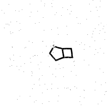 C1CC2CCC2S1